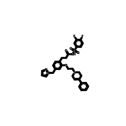 O=C(CCc1ccc(Cn2cccn2)cc1OCCN1CC=C(c2ccccc2)CC1)NS(=O)(=O)c1ccc(F)c(F)c1